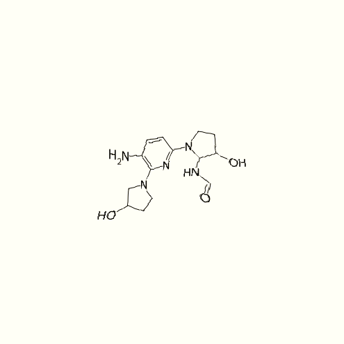 Nc1ccc(N2CCC(O)C2NC=O)nc1N1CCC(O)C1